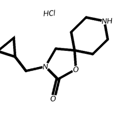 Cl.O=C1OC2(CCNCC2)CN1CC1CC1